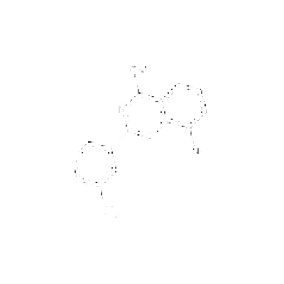 COc1nc(-c2cccc(C(F)(F)F)c2)cc2c([N+](=O)[O-])cccc12